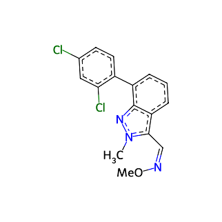 CO/N=C\c1c2cccc(-c3ccc(Cl)cc3Cl)c2nn1C